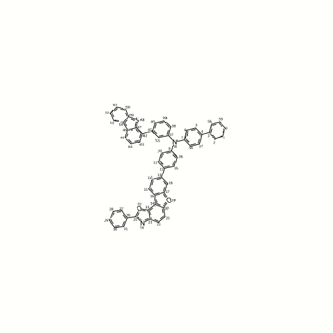 c1ccc(-c2ccc(N(c3ccc(-c4ccc5c(c4)oc4ccc6nc(-c7ccccc7)oc6c45)cc3)c3cccc(-c4cccc5c4sc4ccccc45)c3)cc2)cc1